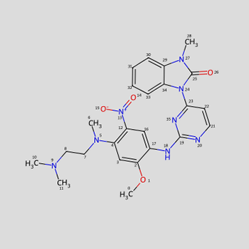 COc1cc(N(C)CCN(C)C)c([N+](=O)[O-])cc1Nc1nccc(-n2c(=O)n(C)c3ccccc32)n1